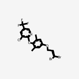 Cc1cc(OCC=C(Br)Br)cc(C)c1Oc1ncc(C(F)(F)F)cc1Cl